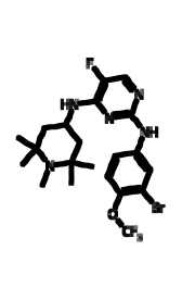 CN1C(C)(C)CC(Nc2nc(Nc3ccc(OC(F)(F)F)c(Br)c3)ncc2F)CC1(C)C